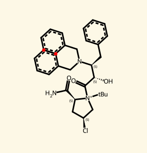 CC(C)(C)[N+]1(C(=O)[C@@H](O)[C@H](Cc2ccccc2)N(Cc2ccccc2)Cc2ccccc2)C[C@@H](Cl)C[C@H]1C(N)=O